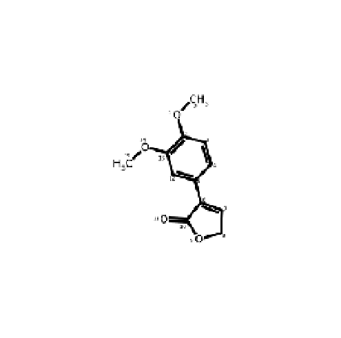 COc1ccc(C2=CCOC2=O)cc1OC